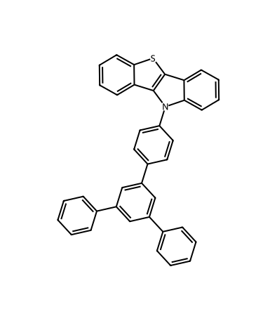 c1ccc(-c2cc(-c3ccccc3)cc(-c3ccc(-n4c5ccccc5c5sc6ccccc6c54)cc3)c2)cc1